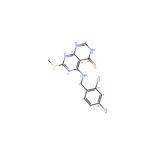 CSc1nc(NCc2ccc(Cl)cc2Cl)c2c(=O)[nH]cnc2n1